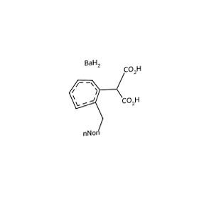 CCCCCCCCCCc1ccccc1C(C(=O)O)C(=O)O.[BaH2]